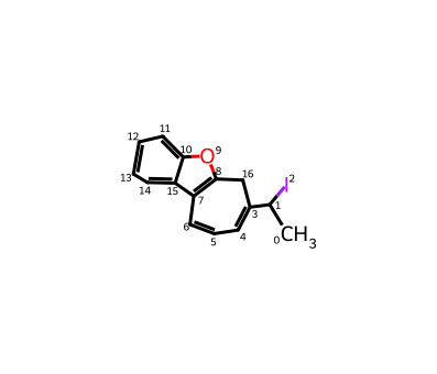 CC(I)C1=CC=Cc2c(oc3ccccc23)C1